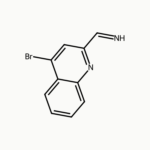 N=Cc1cc(Br)c2ccccc2n1